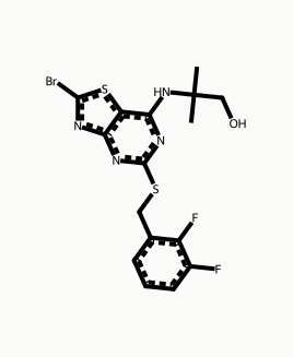 CC(C)(CO)Nc1nc(SCc2cccc(F)c2F)nc2nc(Br)sc12